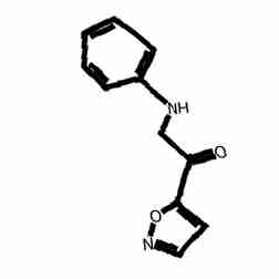 O=C(CNc1ccccc1)c1ccno1